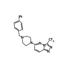 CC(C)c1ccc(CN2CCN(c3ccc4nnc(C(F)(F)F)n4n3)CC2)cc1